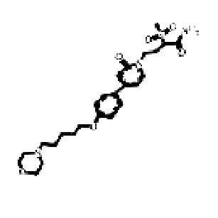 CS(=O)(=O)C(CCn1ccc(-c2ccc(OCCCCCN3CCOCC3)cc2)cc1=O)C(N)=O